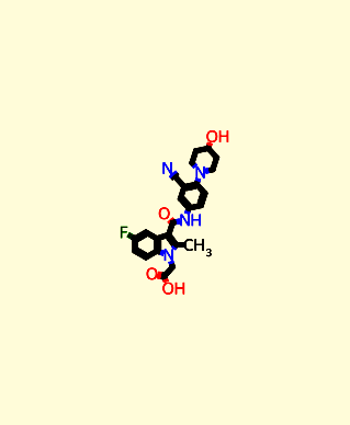 Cc1c(C(=O)Nc2ccc(N3CCC(O)CC3)c(C#N)c2)c2cc(F)ccc2n1CC(=O)O